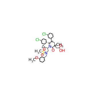 COc1cccc(CN(CC(C2CC2)N2C(=O)[C@@](C)(CC(=O)O)C[C@H](c3cccc(Cl)c3)[C@H]2c2ccc(Cl)cc2)S(C)(=O)=O)c1